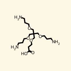 NCCCOCC(COCCCN)(COCCCN)COCCC(=O)O